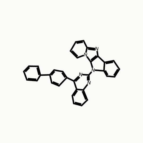 c1ccc(-c2ccc(-c3nc(-n4c5ccccc5c5nc6ccccn6c54)nc4ccccc34)cc2)cc1